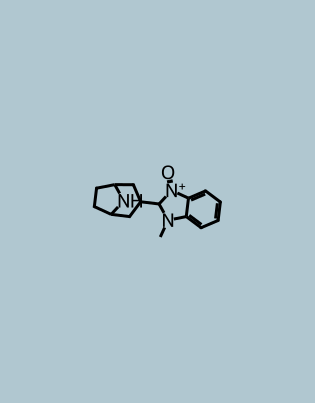 CN1c2ccccc2[N+](=O)C1C1CC2CCC(C1)N2